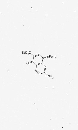 CCCCCn1cc(C(=O)OCC)c(=O)c2ccc(N)cc21